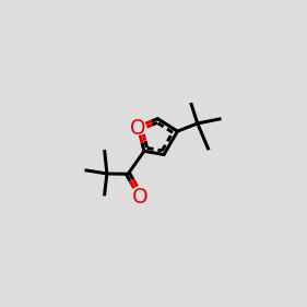 CC(C)(C)C(=O)c1cc(C(C)(C)C)co1